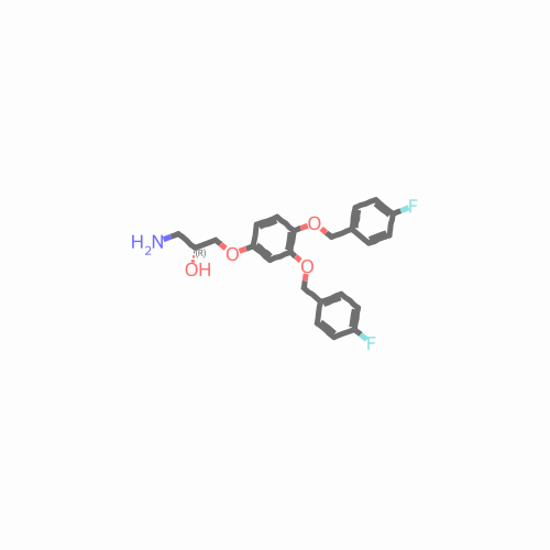 NC[C@@H](O)COc1ccc(OCc2ccc(F)cc2)c(OCc2ccc(F)cc2)c1